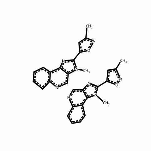 Cc1cc(-c2nc3c4ccccc4ncc3n2C)on1.Cc1cc(-c2nc3cnc4ccccc4c3n2C)on1